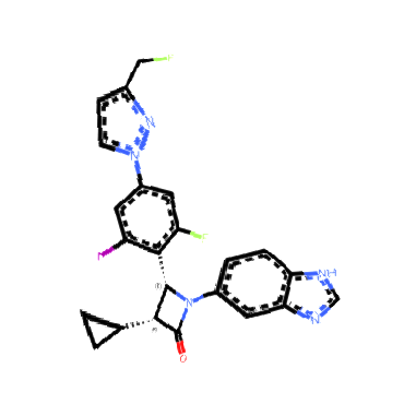 O=C1[C@H](C2CC2)[C@H](c2c(F)cc(-n3ccc(CF)n3)cc2I)N1c1ccc2[nH]cnc2c1